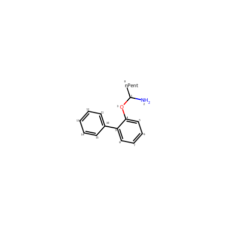 CCCCCC(N)Oc1ccccc1-c1ccccc1